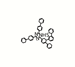 CN1C(C2=CCC(C3=CC=CCC3)C=C2)=NC(c2ccc(C3C=CC=CC3)cc2)NC1C1=CC=C(C2=CC=CCC2)C(c2cccc3c2SC2C=CC=CC32)C1